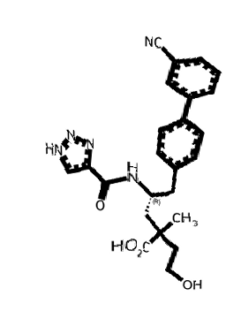 CC(CCO)(C[C@@H](Cc1ccc(-c2cccc(C#N)c2)cc1)NC(=O)c1c[nH]nn1)C(=O)O